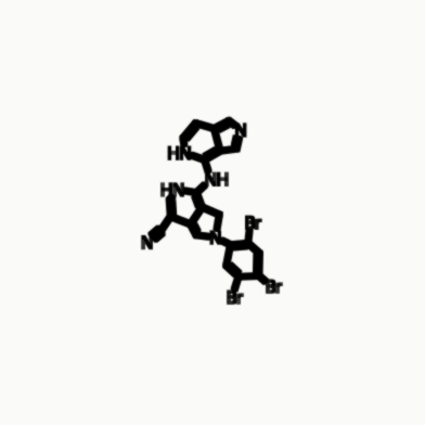 N#CC1=CNC(Nc2[nH]ccc3cncc2-3)=C2CN(c3cc(Br)c(Br)cc3Br)C=C12